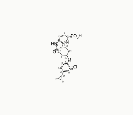 O=C(O)c1ccc2c(n1)[C@]1(CC[C@H](Oc3ncc(C4CC4)cc3Cl)CC1)C(=O)N2